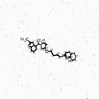 Cc1cc2c(C(C(=O)O)N3CC[C@@H](OCCCCc4ccc5c(n4)NCCC5)C3)cccc2s1